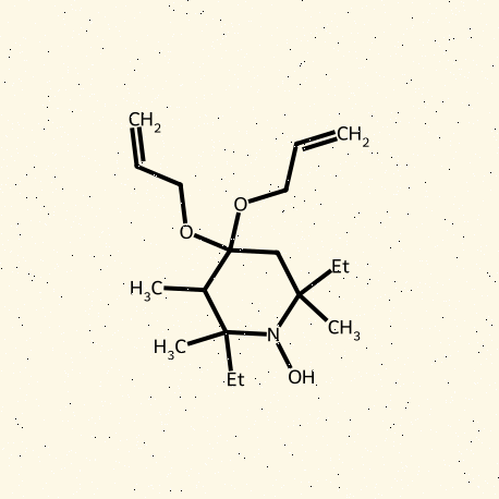 C=CCOC1(OCC=C)CC(C)(CC)N(O)C(C)(CC)C1C